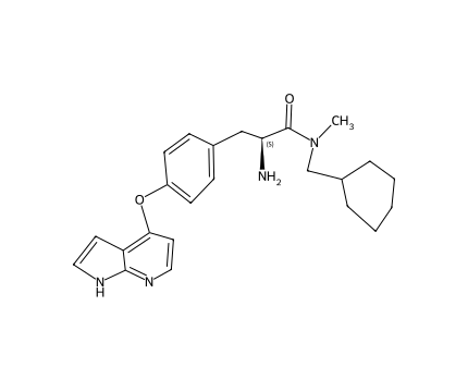 CN(CC1CCCCC1)C(=O)[C@@H](N)Cc1ccc(Oc2ccnc3[nH]ccc23)cc1